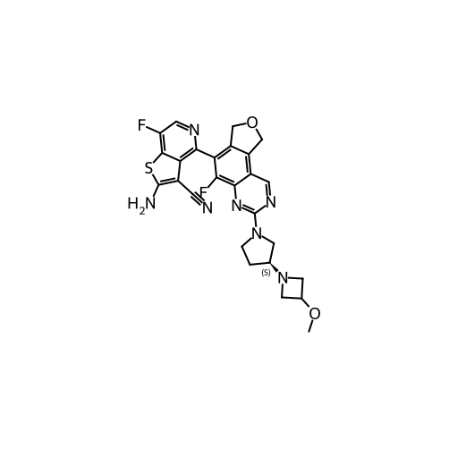 COC1CN([C@H]2CCN(c3ncc4c5c(c(-c6ncc(F)c7sc(N)c(C#N)c67)c(F)c4n3)COC5)C2)C1